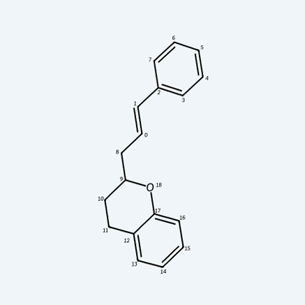 C(=Cc1ccccc1)CC1CCc2ccccc2O1